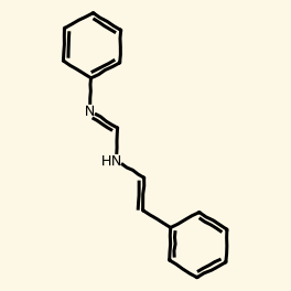 C(=Cc1ccccc1)NC=Nc1ccccc1